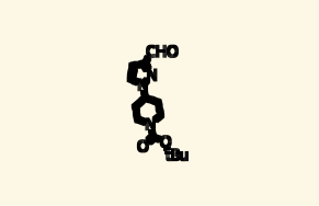 CC(C)(C)OC(=O)N1CCC(n2ccc(C=O)n2)CC1